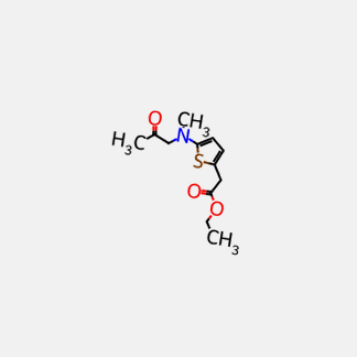 CCOC(=O)Cc1ccc(N(C)CC(C)=O)s1